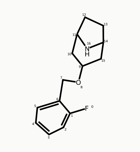 Fc1ccccc1COC1CC2CCC(C1)N2